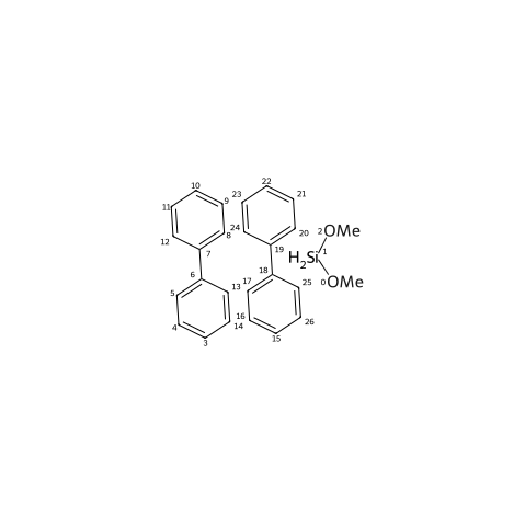 CO[SiH2]OC.c1ccc(-c2ccccc2)cc1.c1ccc(-c2ccccc2)cc1